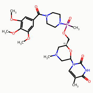 COc1cc(C(=O)N2CCN(P(C)(=O)OC[C@@H]3CN(C)CC(n4cc(C)c(=O)[nH]c4=O)O3)CC2)cc(OC)c1OC